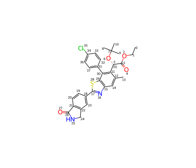 CCOC(=O)[C@@H](OC(C)(C)C)c1c(C)cc2nc(-c3ccc4c(c3)CNC4=O)sc2c1-c1ccc(Cl)cc1